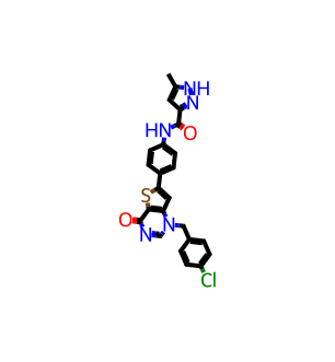 Cc1cc(C(=O)Nc2ccc(-c3cc4c(s3)c(=O)ncn4Cc3ccc(Cl)cc3)cc2)n[nH]1